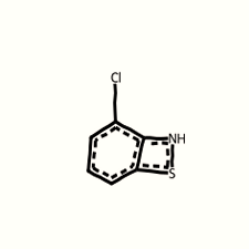 Clc1cccc2s[nH]c12